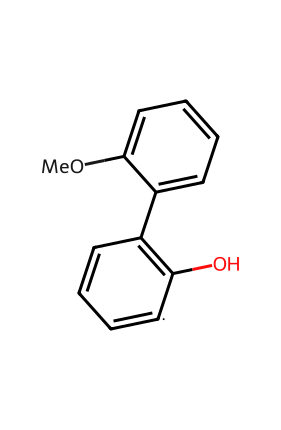 COc1ccccc1-c1ccc[c]c1O